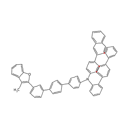 Cc1c(-c2cccc(-c3ccc(-c4ccc(N(c5ccc(-c6ccc7ccccc7c6)cc5)c5ccccc5-c5ccc(-c6ccccc6)cc5)cc4)cc3)c2)oc2ccccc12